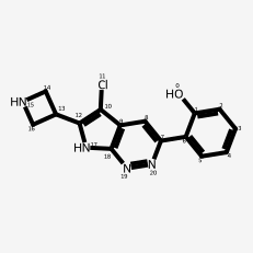 Oc1ccccc1-c1cc2c(Cl)c(C3CNC3)[nH]c2nn1